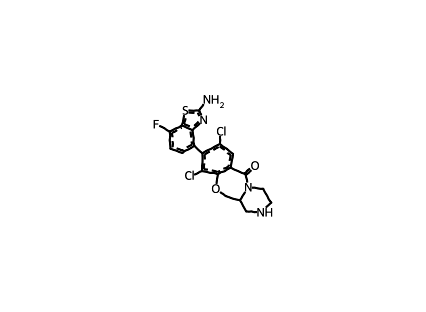 Nc1nc2c(-c3c(Cl)cc4c(c3Cl)OCC3CNCCN3C4=O)ccc(F)c2s1